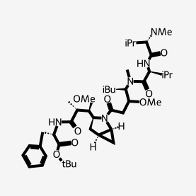 CC[C@H](C)C(C(CC(=O)N1[C@H]2C[C@H]2C[C@H]1[C@H](OC)[C@@H](C)C(=O)N[C@@H](Cc1ccccc1)C(=O)OC(C)(C)C)OC)N(C)C(=O)[C@@H](NC(=O)[C@@H](NC)C(C)C)C(C)C